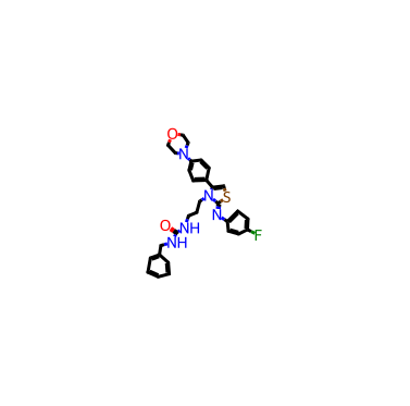 O=C(NCCCn1c(-c2ccc(N3CCOCC3)cc2)cs/c1=N\c1ccc(F)cc1)NCc1ccccc1